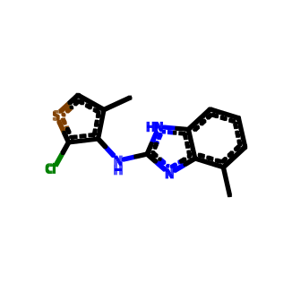 Cc1csc(Cl)c1Nc1nc2c(C)cccc2[nH]1